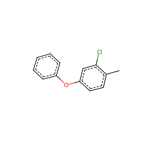 Cc1ccc(Oc2c[c]ccc2)cc1Cl